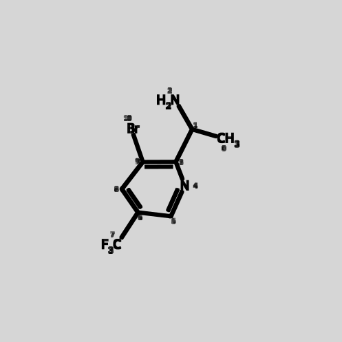 CC(N)c1ncc(C(F)(F)F)cc1Br